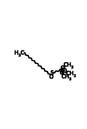 CCCCCCCCCCCCCCCCCC(=O)SCCCC[Si](OCC)(OCC)OCC